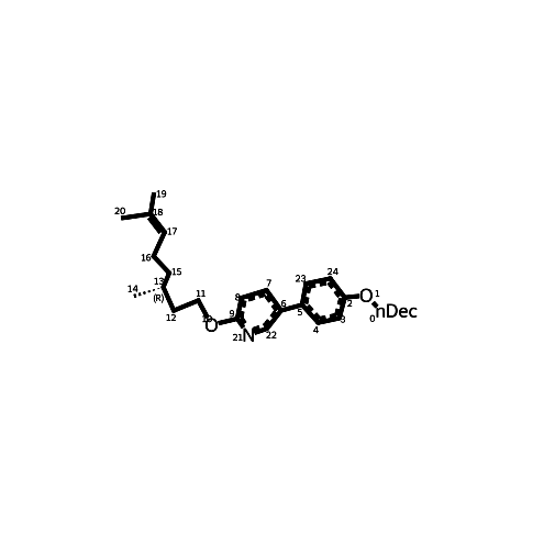 CCCCCCCCCCOc1ccc(-c2ccc(OCC[C@H](C)CCC=C(C)C)nc2)cc1